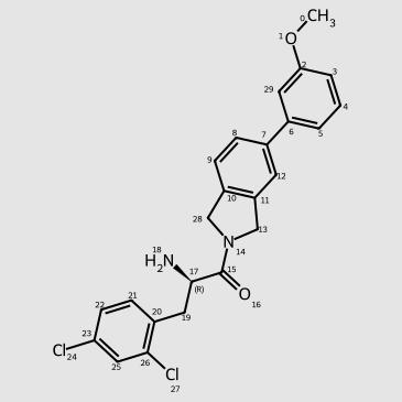 COc1cccc(-c2ccc3c(c2)CN(C(=O)[C@H](N)Cc2ccc(Cl)cc2Cl)C3)c1